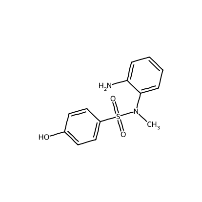 CN(c1ccccc1N)S(=O)(=O)c1ccc(O)cc1